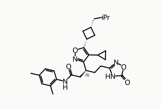 Cc1ccc(NC(=O)C[C@H](CCc2noc(=O)[nH]2)c2noc([C@H]3C[C@@H](CC(C)C)C3)c2C2CC2)c(C)c1